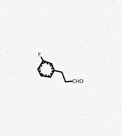 O=[C]CCc1cccc(F)c1